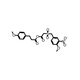 COc1ccc(CCC(=O)OC(=O)CS(=O)(=O)Cc2ccc(OC)c([N+](=O)[O-])c2)cc1